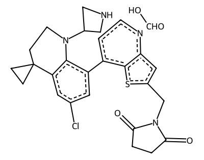 O=C1CCC(=O)N1Cc1cc2nccc(-c3cc(Cl)cc4c3N(C3CNC3)CCC43CC3)c2s1.O=CO